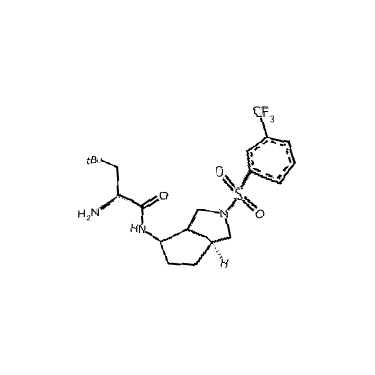 CC(C)(C)C[C@H](N)C(=O)NC1CC[C@@H]2CN(S(=O)(=O)c3cccc(C(F)(F)F)c3)CC12